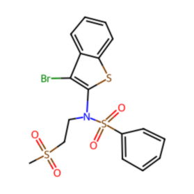 CS(=O)(=O)CCN(c1sc2ccccc2c1Br)S(=O)(=O)c1ccccc1